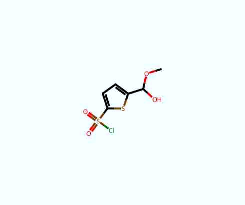 COC(O)c1ccc(S(=O)(=O)Cl)s1